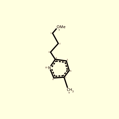 COCCCc1ccc(C)cn1